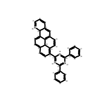 C1=CC2=CC3=C4C(=CC=C5C=CC(c6nc(-c7ccccc7)nc(-c7ccccc7)n6)=C(C=C3)C54)C2N=C1